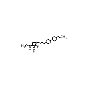 CCCC1CCC(C2CCC(CCCCc3ccc(C(=O)CC)c(O)c3F)CC2)CC1